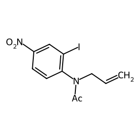 C=CCN(C(C)=O)c1ccc([N+](=O)[O-])cc1I